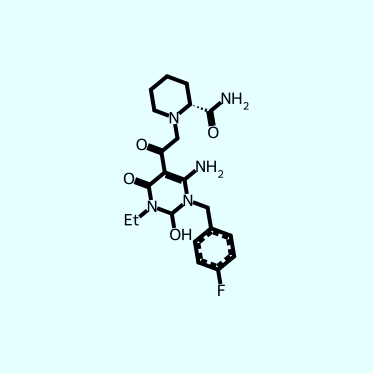 CCN1C(=O)C(C(=O)CN2CCCC[C@@H]2C(N)=O)=C(N)N(Cc2ccc(F)cc2)C1O